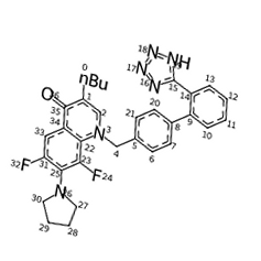 CCCCc1cn(Cc2ccc(-c3ccccc3-c3nnn[nH]3)cc2)c2c(F)c(N3CCCC3)c(F)cc2c1=O